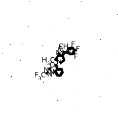 C[C@H]1c2nn(C)c(-c3cc(F)c(F)c(F)c3)c2CCN1C(=O)c1ccccc1-n1cnc(C(F)(F)F)n1